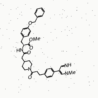 CN/C=C(\C=N)c1ccc(CCC(=O)N2CCC(CC(=O)N[C@@H](Cc3ccc(OCc4ccccc4)cc3)C(=O)OC)CC2)cc1